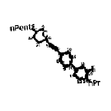 CCCCCC1CCC(C#Cc2ccc(-c3ccc(CCC)c(F)c3)cc2)CC1